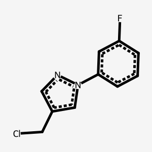 Fc1cccc(-n2cc(CCl)cn2)c1